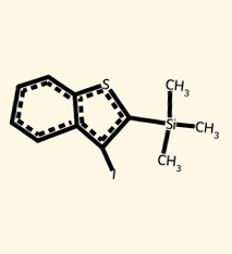 C[Si](C)(C)c1sc2ccccc2c1I